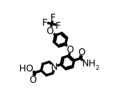 NC(=O)c1ccc(N2CCC(C(=O)O)CC2)cc1Oc1ccc(OC(F)(F)F)cc1